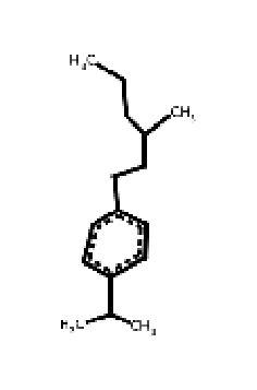 CCCC(C)CCc1ccc(C(C)C)cc1